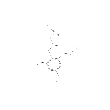 CCNc1cc(OC)cc(OC)c1CC(O)CS(=O)(=O)O